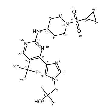 CC(C)(O)Cn1cnc(-c2nc(NC3CCN(S(=O)(=O)C4CC4)CC3)ncc2C(F)(F)F)c1